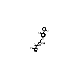 O=C(NC[C@@H](O)CNc1ccc(N2CCCC2=O)c(Cl)c1)c1sccc1Cl